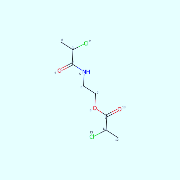 CC(Cl)C(=O)NCCOC(=O)C(C)Cl